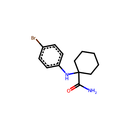 NC(=O)C1(Nc2ccc(Br)cc2)CCCCC1